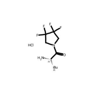 CC[C@@H](C)[C@H](N)C(=O)N1CC(F)(F)C(F)(F)C1.Cl